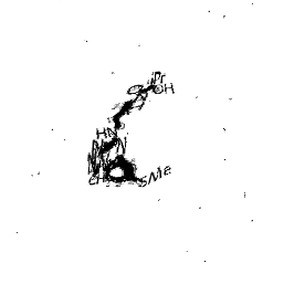 CSc1ccc2c(c1)nc(NCCCCNC(=O)C(O)C(C)C)c1nnc(C)n12